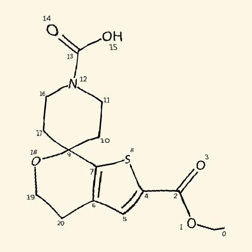 COC(=O)c1cc2c(s1)C1(CCN(C(=O)O)CC1)OCC2